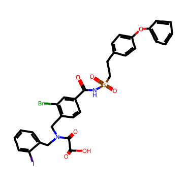 O=C(O)C(=O)N(Cc1ccc(C(=O)NS(=O)(=O)CCc2ccc(Oc3ccccc3)cc2)cc1Br)Cc1ccccc1I